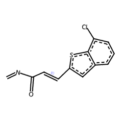 C=NC(=O)/C=C/c1cc2cccc(Cl)c2s1